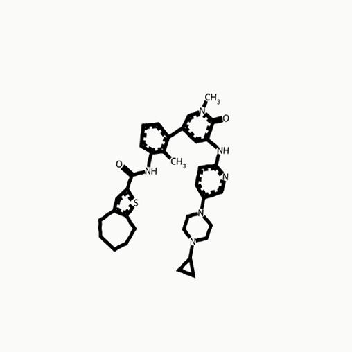 Cc1c(NC(=O)c2cc3c(s2)CCCCC3)cccc1-c1cc(Nc2ccc(N3CCN(C4CC4)CC3)cn2)c(=O)n(C)c1